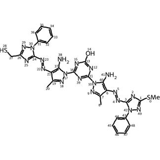 CSc1nc(N=Nc2c(C)nn(-c3nc(O)nc(-n4nc(C)c(N=Nc5nc(CS)nn5-c5ccccc5)c4N)n3)c2N)n(-c2ccccc2)n1